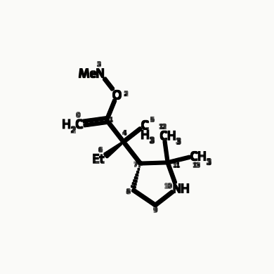 C=C(ONC)[C@@](C)(CC)[C@H]1CCNC1(C)C